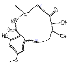 COc1cc(O)c2c(c1)/C=C/CC(O)C(O)C(=O)/C=C\C[C@H](C)NC2=O